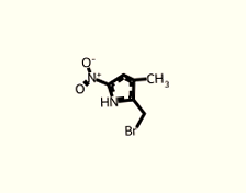 Cc1cc([N+](=O)[O-])[nH]c1CBr